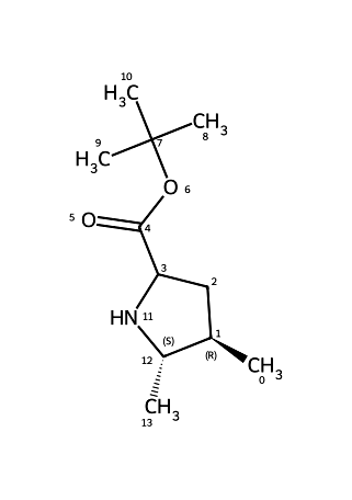 C[C@@H]1CC(C(=O)OC(C)(C)C)N[C@H]1C